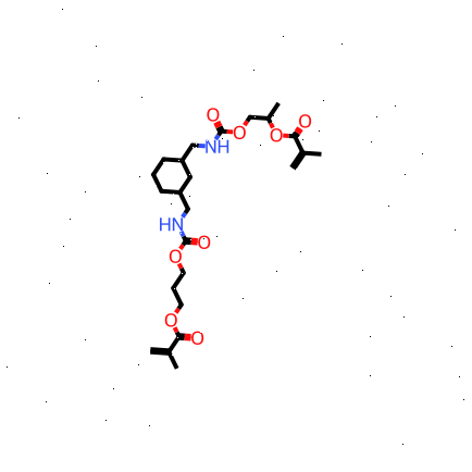 C=C(C)C(=O)OCCCOC(=O)NCC1CCCC(CNC(=O)OCC(C)OC(=O)C(=C)C)C1